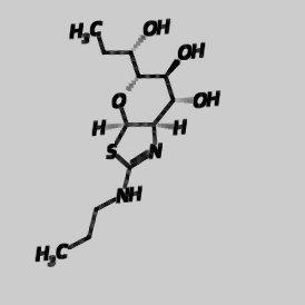 CCCNC1=N[C@@H]2[C@@H](O)[C@H](O)[C@@H]([C@@H](O)CC)O[C@@H]2S1